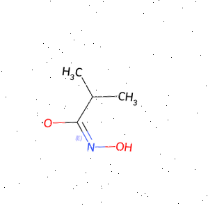 CC(C)/C([O])=N\O